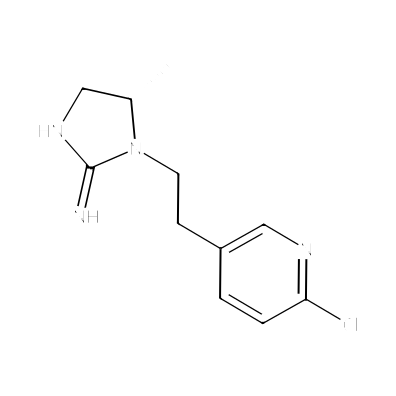 C[C@H]1CNC(=N)N1CCc1ccc(Cl)nc1